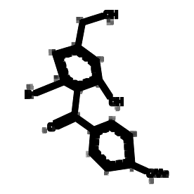 COc1ccc(C(=O)c2c(O)cc(CO)cc2Br)cc1